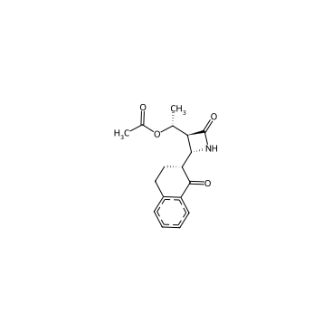 CC(=O)O[C@H](C)[C@H]1C(=O)N[C@@H]1[C@H]1CCc2ccccc2C1=O